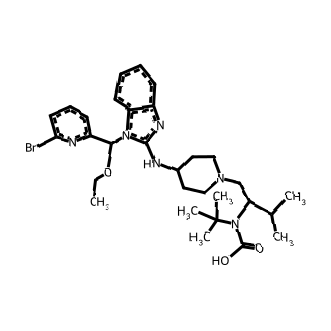 CCOC(c1cccc(Br)n1)n1c(NC2CCN(CC(C(C)C)N(C(=O)O)C(C)(C)C)CC2)nc2ccccc21